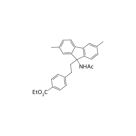 CCOC(=O)c1ccc(CCC2(NC(C)=O)c3ccc(C)cc3-c3ccc(C)cc32)cc1